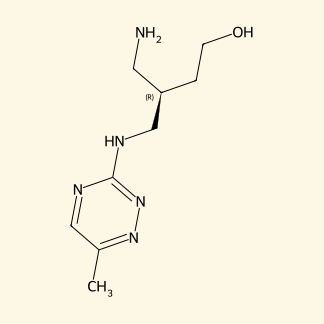 Cc1cnc(NC[C@@H](CN)CCO)nn1